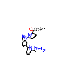 COC(=O)c1cccc(-n2ncc3ccc(-c4cccc(C(C)N)n4)cc32)n1